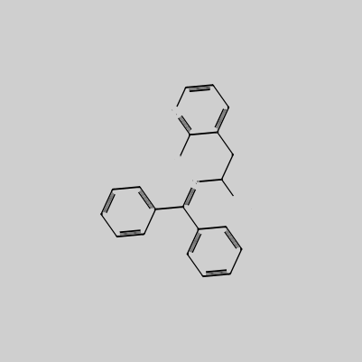 O=C(O)C(Cc1cccnc1Br)N=C(c1ccccc1)c1ccccc1